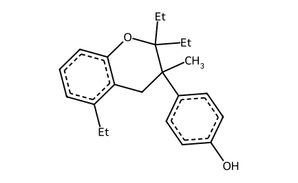 CCc1cccc2c1CC(C)(c1ccc(O)cc1)C(CC)(CC)O2